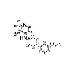 CCOc1cccc([C@H]2CC[C@H](Nc3ccnc(CC)c3Br)CC2)c1